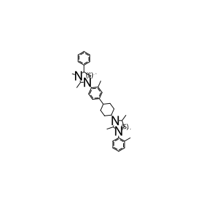 Cc1cc(C2CCC(N3C(C)[C@H](C)N(c4ccccc4C)C3C)CC2)ccc1N1C(C)N(C)C(c2ccccc2)[C@@H]1C